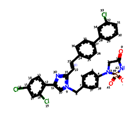 O=C1CN(c2ccc(Cn3cc(-c4ccc(Cl)cc4Cl)nc3/C=C/c3ccc(-c4cccc(Cl)c4)cc3)cc2)S(=O)(=O)N1